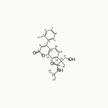 Cc1ccccc1-c1cc(=O)oc2cc(C(C)(CO)C(=O)NC(C)C)ccc12